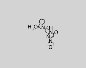 C[C@H]1CN(C(=O)Cc2nc(N3CCOCC3)cc(=O)[nH]2)c2ccccc21